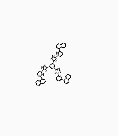 c1cc(-c2nnc(-c3cc(-c4nnc(-c5cccc(-c6cccc7ccccc67)n5)s4)cc(-c4nnc(-c5cccc(-c6cccc7ccccc67)n5)s4)c3)s2)nc(-c2cccc3ccccc23)c1